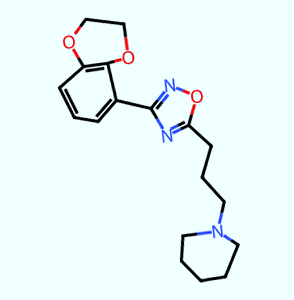 c1cc2c(c(-c3noc(CCCN4CCCCC4)n3)c1)OCCO2